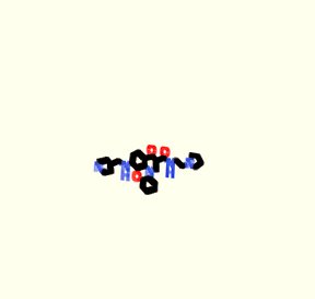 O=C(NCCN1CCCC1)c1cn2c3c(c(NCc4ccncc4)ccc3c1=O)Oc1ccccc1-2